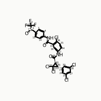 O=C(Nc1ccc([S+]([O-])C(F)(F)F)cc1)c1cc(NC(=O)[C@H]2[C@H](c3cc(Cl)cc(Cl)c3)C2(Cl)Cl)ccc1Cl